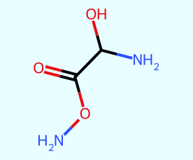 NOC(=O)C(N)O